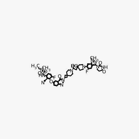 CCN(C)S(=O)(=O)Nc1ccc(F)c(Oc2ccc3ncn(C4CC5(CCN(C(=O)CC6(O)CCN(c7cc8c(cc7F)c(N7CCC(=O)NC7=O)nn8C)CC6)CC5)C4)c(=O)c3c2)c1C#N